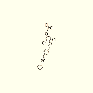 ClC(Cl)=CCOc1cc(Cl)c(OCCc2ccc(/C=N/OCc3ccccc3)cc2)c(Cl)c1